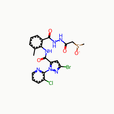 Cc1cccc(C(=O)NNC(=O)C[S+](C)[O-])c1NC(=O)c1cc(Br)nn1-c1ncccc1Cl